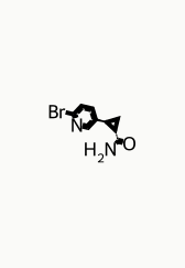 NC(=O)[C@H]1C[C@@H]1c1ccc(Br)nc1